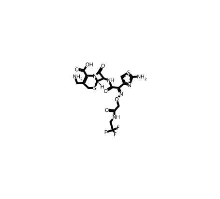 NCC1=C(C(=O)O)N2C(=O)C(NC(=O)/C(=N\OCC(=O)NCC(F)(F)F)c3csc(N)n3)[C@H]2SC1